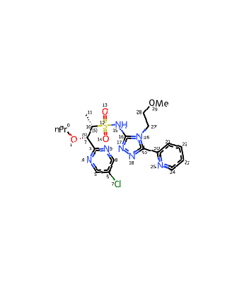 CCCO[C@@H](c1ncc(Cl)cn1)[C@H](C)S(=O)(=O)Nc1nnc(-c2ccccn2)n1CCOC